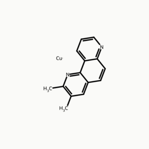 Cc1cc2ccc3ncccc3c2nc1C.[Cu]